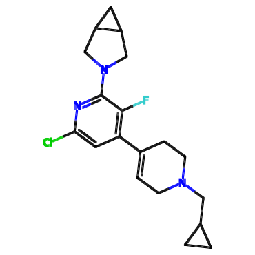 Fc1c(C2=CCN(CC3CC3)CC2)cc(Cl)nc1N1CC2CC2C1